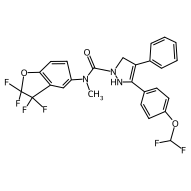 CN(C(=O)N1CC(c2ccccc2)=C(c2ccc(OC(F)F)cc2)N1)c1ccc2c(c1)C(F)(F)C(F)(F)O2